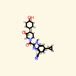 Cn1c(C(=O)N2CC[C@H](C3CCC(O)CC3)C(=O)C2)nc2c(C#N)cc(C3CC3)cc21